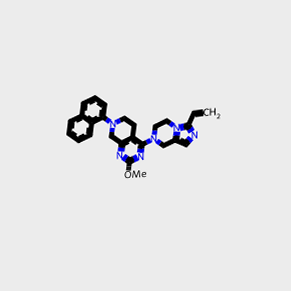 C=Cc1ncc2n1CCN(c1nc(OC)nc3c1CCN(c1cccc4ccccc14)C3)C2